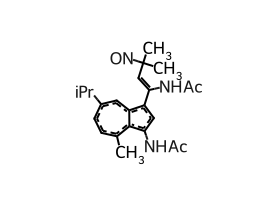 CC(=O)NC(=CC(C)(C)N=O)c1cc(NC(C)=O)c2c(C)ccc(C(C)C)cc1-2